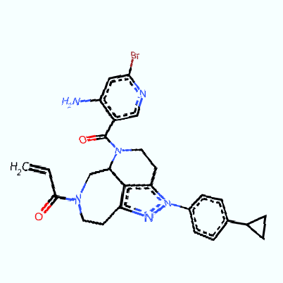 C=CC(=O)N1CCc2nn(-c3ccc(C4CC4)cc3)c3c2C(C1)N(C(=O)c1cnc(Br)cc1N)CC3